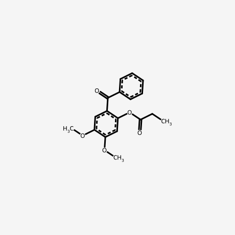 CCC(=O)Oc1cc(OC)c(OC)cc1C(=O)c1ccccc1